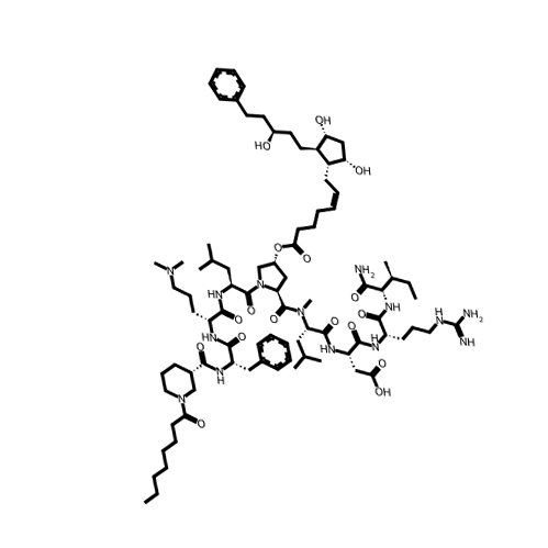 CCCCCCCC(=O)N1CCC[C@H](C(=O)N[C@@H](Cc2ccccc2)C(=O)N[C@H](CCCN(C)C)C(=O)N[C@@H](CC(C)C)C(=O)N2C[C@H](OC(=O)CCC/C=C\C[C@@H]3[C@@H](CC[C@@H](O)CCc4ccccc4)[C@H](O)C[C@@H]3O)C[C@H]2C(=O)N(C)[C@@H](CC(C)C)C(=O)N[C@@H](CC(=O)O)C(=O)N[C@@H](CCCNC(=N)N)C(=O)N[C@H](C(N)=O)[C@@H](C)CC)C1